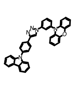 c1cc(N2c3ccccc3Oc3ccccc32)cc(-n2cc(-c3ccc(-n4c5ccccc5c5ccccc54)cc3)nn2)c1